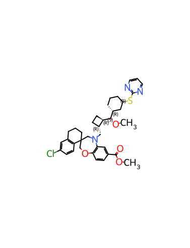 COC(=O)c1ccc2c(c1)N(C[C@@H]1CC[C@H]1[C@@H](OC)[C@@H]1CCC[C@@H](Sc3ncccn3)C1)CC1(CCCc3cc(Cl)ccc31)CO2